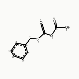 O=C(O)OC(=O)SCc1ccccc1